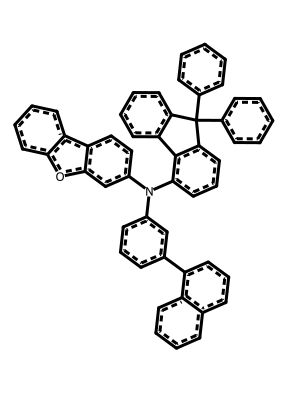 c1ccc(C2(c3ccccc3)c3ccccc3-c3c(N(c4cccc(-c5cccc6ccccc56)c4)c4ccc5c(c4)oc4ccccc45)cccc32)cc1